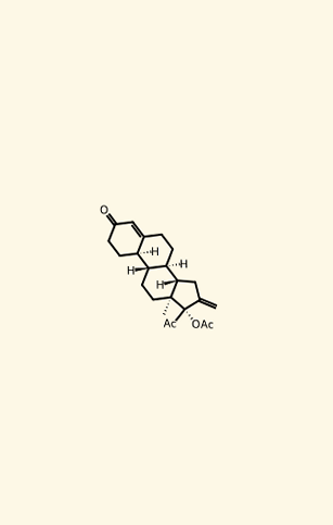 C=C1C[C@H]2[C@@H]3CCC4=CC(=O)CC[C@@H]4[C@H]3CC[C@]2(C)[C@]1(OC(C)=O)C(C)=O